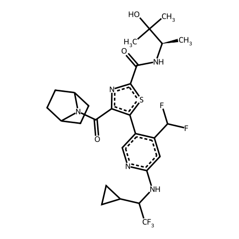 C[C@@H](NC(=O)c1nc(C(=O)N2C3CCC2CC3)c(-c2cnc(NC(C3CC3)C(F)(F)F)cc2C(F)F)s1)C(C)(C)O